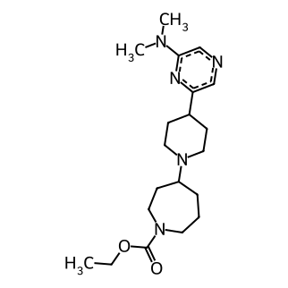 CCOC(=O)N1CCCC(N2CCC(c3cncc(N(C)C)n3)CC2)CC1